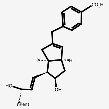 CCCCC[C@H](O)/C=C/[C@H]1[C@H]2CC(Cc3ccc(C(=O)O)cc3)=C[C@H]2C[C@H]1O